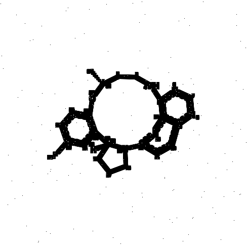 C[C@@H]1CCNc2ncnc3ccc(nc23)N2CCC[C@@H]2c2cc(F)ccc2O1